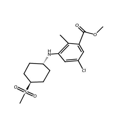 COC(=O)c1cc(Cl)cc(N[C@H]2CC[C@H](S(C)(=O)=O)CC2)c1C